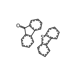 O=C1c2ccccc2-c2ccccc21.c1ccc2c(c1)sc1ccccc12